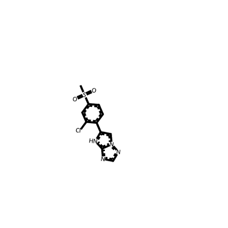 CS(=O)(=O)c1ccc(-c2cn3ncnc3[nH]2)c(Cl)c1